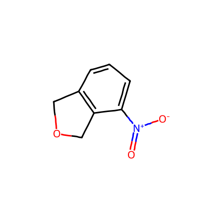 O=[N+]([O-])c1cccc2c1COC2